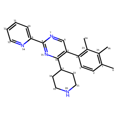 Cc1ccc(-c2cnc(-c3ccccn3)nc2C2CCNCC2)c(C)c1C